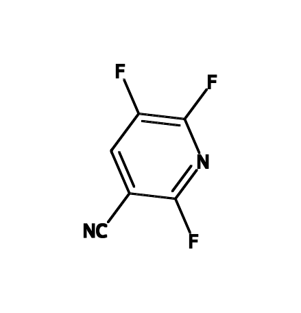 N#Cc1cc(F)c(F)nc1F